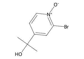 CC(C)(O)c1cc[n+]([O-])c(Br)c1